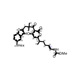 CCCCCCc1ccc2oc(CC(C)(C)C(=O)c3c(O)cc(C(C)CC/C=C/NC(=O)OC)oc3=O)cc2c1